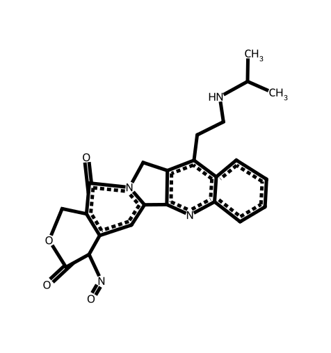 CC(C)NCCc1c2c(nc3ccccc13)-c1cc3c(c(=O)n1C2)COC(=O)C3N=O